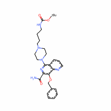 CC(C)(C)OC(=O)NCCCCN1CCN(c2nc(C(N)=O)c(OCc3ccccc3)c3ncccc23)CC1